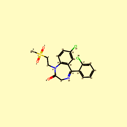 CC(C)S(=O)(=O)CCN1C(=O)CN=C(c2ccccc2Cl)c2cc(Cl)ccc21